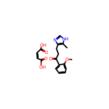 COc1ccccc1C(=O)CCc1nc[nH]c1C.O=C(O)/C=C\C(=O)O